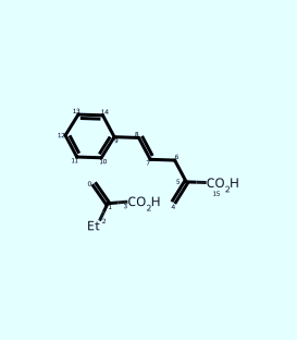 C=C(CC)C(=O)O.C=C(CC=Cc1ccccc1)C(=O)O